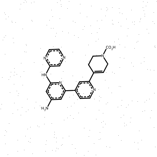 Nc1cc(Nc2cnccn2)nc(-c2ccnc(C3=CCN(C(=O)O)CC3)c2)c1